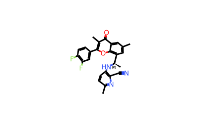 Cc1cc([C@@H](C)Nc2ccc(C)nc2C#N)c2oc(-c3ccc(F)c(F)c3)c(C)c(=O)c2c1